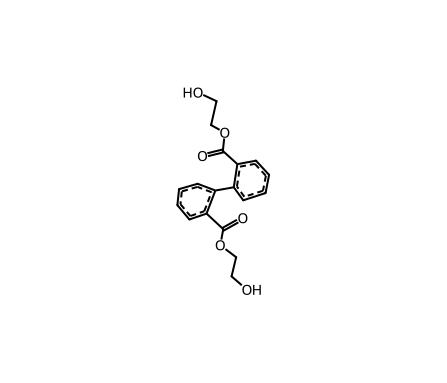 O=C(OCCO)c1ccccc1-c1ccccc1C(=O)OCCO